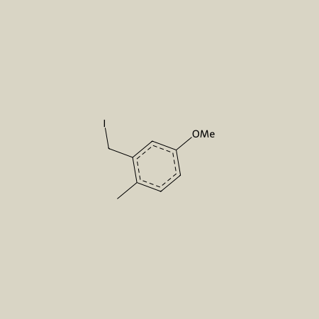 COc1ccc(C)c(CI)c1